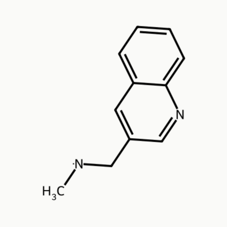 C[N]Cc1cnc2ccccc2c1